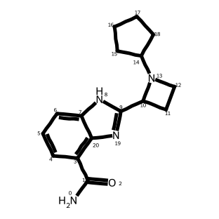 NC(=O)c1cccc2[nH]c(C3CCN3C3CCCC3)nc12